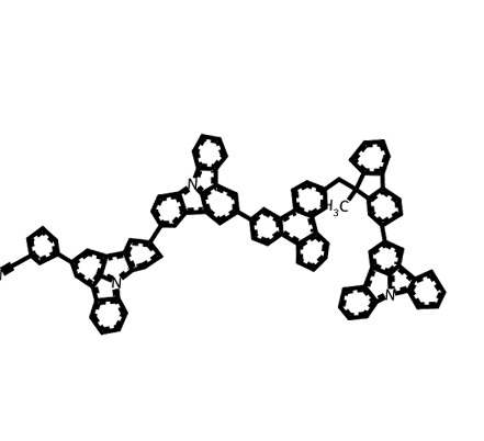 CC1(Cc2ccc3c(c2)c2ccccc2c2ccc(-c4cc5c6ccccc6n6c7ccc(-c8ccc9c(c8)c8cc(-c%10cccc(C#N)c%10)cc%10c%11ccccc%11n9c%108)cc7c(c4)c56)cc23)c2ccccc2-c2ccc(-c3cc4c5ccccc5n5c6ccccc6c(c3)c45)cc21